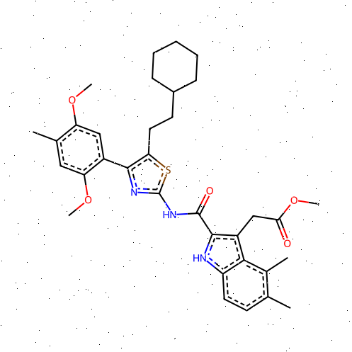 COC(=O)Cc1c(C(=O)Nc2nc(-c3cc(OC)c(C)cc3OC)c(CCC3CCCCC3)s2)[nH]c2ccc(C)c(C)c12